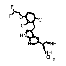 CN/C=C(\C=N)c1cnc2[nH]cc(Cc3c(Cl)ccc(OCC(F)F)c3Cl)c2c1